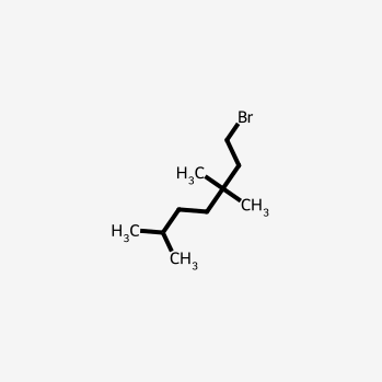 CC(C)CCC(C)(C)CCBr